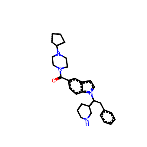 O=C(c1ccc2c(ccn2C(Cc2ccccc2)C2CCCNC2)c1)N1CCN(C2CCCC2)CC1